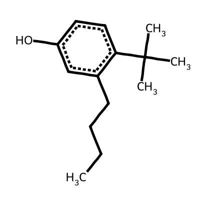 CCCCc1cc(O)ccc1C(C)(C)C